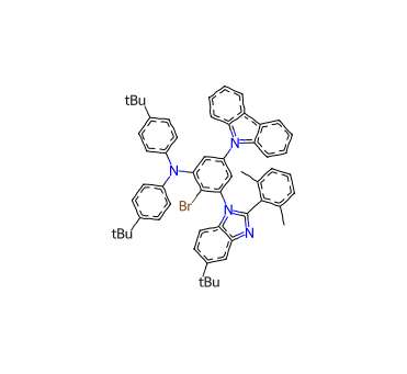 Cc1cccc(C)c1-c1nc2cc(C(C)(C)C)ccc2n1-c1cc(-n2c3ccccc3c3ccccc32)cc(N(c2ccc(C(C)(C)C)cc2)c2ccc(C(C)(C)C)cc2)c1Br